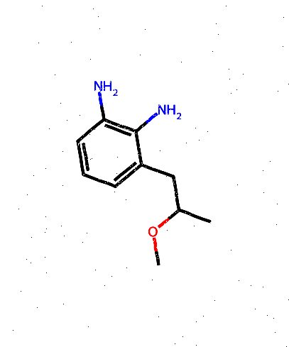 COC(C)Cc1cccc(N)c1N